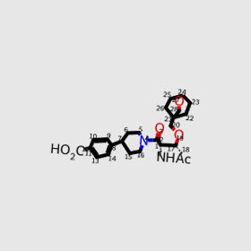 CC(=O)N[C@H](C(=O)N1CCC(c2ccc(C(=O)O)cc2)CC1)[C@@H](C)OCC12CCC(CC1)OC2